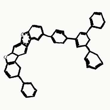 C1=CCCC(C2=CC(C3C=CC(C4C=Cc5oc6c(c5C4)=CC4C5=C(C=CC(C7C=CC=CC7)C5)OC4C=6)=CC3)=CC(C3C=CC=CC3)C2)=C1